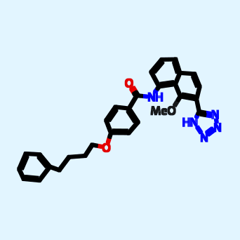 COc1c(-c2nnn[nH]2)ccc2cccc(NC(=O)c3ccc(OCCCCc4ccccc4)cc3)c12